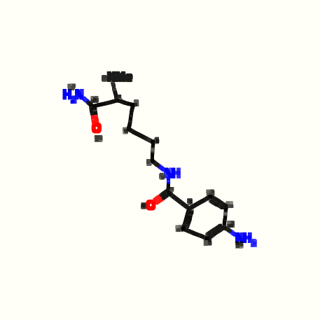 CNC(CCCCNC(=O)c1ccc(N)cc1)C(N)=O